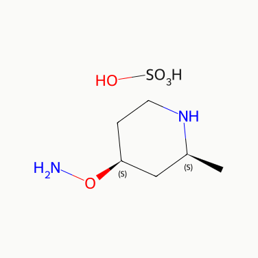 C[C@H]1C[C@@H](ON)CCN1.O=S(=O)(O)O